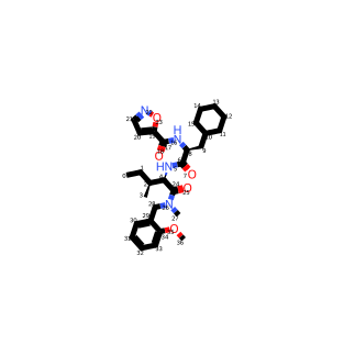 CC[C@H](C)[C@H](NC(=O)[C@H](CC1CCCCC1)NC(=O)c1ccno1)C(=O)N(C)Cc1ccccc1OC